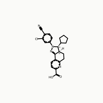 N#Cc1ccc(N2N=C3c4ccc(C(=O)O)nc4CC[C@@H]3[C@@H]2C2CCCC2)cc1Cl